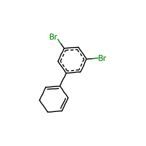 Brc1cc(Br)cc(C2=CCCC=C2)c1